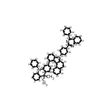 CC1(C)c2ccccc2N(c2ccccc2)c2cc(-c3cccc4c3c3c5ccccc5ccc3n4-c3ccc(-c4nc(-c5ccccc5)c5ccccc5n4)cc3)ccc21